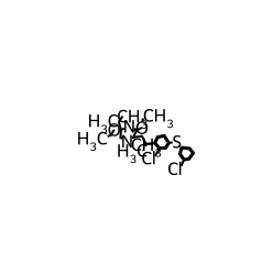 CCOC1=N[C@](OCC)(C(C)C)C=NC1(C)C[C@@H](C)c1ccc(Sc2cccc(Cl)c2)cc1Cl